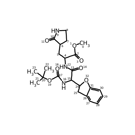 COC(=O)C(CC1CCNC1=O)NC(=O)C(NC(=O)OC(C)(C)C)C1Cc2ccccc2O1